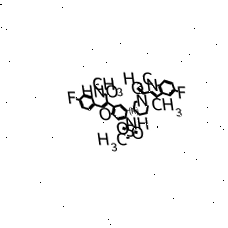 CCS(=O)(=O)Nc1cc2oc(-c3ccc(F)cc3)c(C(=O)NC)c2cc1[C@H]1CCCN(C(=O)c2c(C)c3cc(F)ccc3n2C)C1